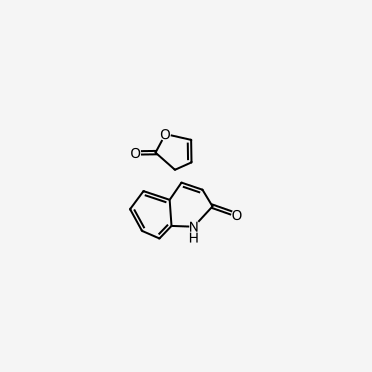 O=C1CC=CO1.O=c1ccc2ccccc2[nH]1